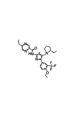 CCOc1ccc(-c2nc(NC(=O)c3cnc(CI)cn3)sc2CN2CCC[C@H]2CC)cc1C(F)(F)F